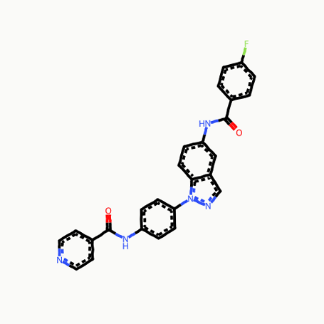 O=C(Nc1ccc(-n2ncc3cc(NC(=O)c4ccc(F)cc4)ccc32)cc1)c1ccncc1